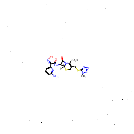 Cn1nnnc1SCC1=C(C(=O)O)N2C(=O)C(NC(=O)/C(=N\O)c3cccc(N)n3)[C@H]2SC1